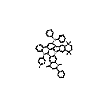 C=C1C=C(c2ccccc2)N(C)c2cc3c(cc21)B1c2c(cc(N(c4ccccc4)c4ccccc4)c4c5cc6c(cc5n-3c24)C(C)(C)CCC6(C)C)-c2ccccc2N1c1ccc(C)cc1